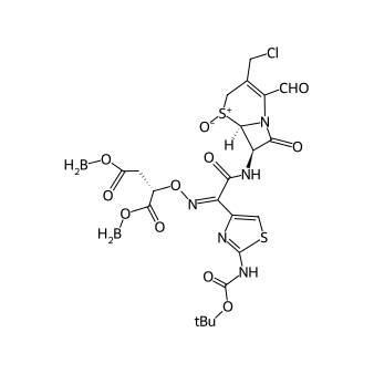 BOC(=O)C[C@H](O/N=C(\C(=O)N[C@@H]1C(=O)N2C(C=O)=C(CCl)C[S+]([O-])[C@H]12)c1csc(NC(=O)OC(C)(C)C)n1)C(=O)OB